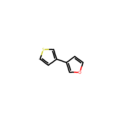 [c]1cc(-c2ccoc2)cs1